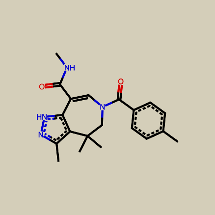 CNC(=O)C1=CN(C(=O)c2ccc(C)cc2)CC(C)(C)c2c(C)n[nH]c21